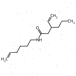 C=CCCCCNC(=O)CC(C=C)CCC